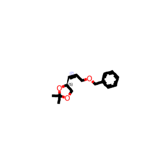 CC1(C)OC[C@H](/C=C\COCc2ccccc2)O1